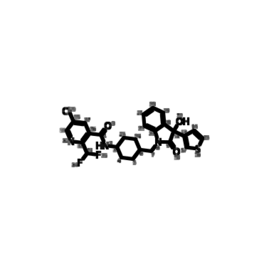 O=C(NC1CCC(CN2C(=O)C(O)(c3ccsc3)c3ccccc32)CC1)c1cc(Cl)cnc1C(F)F